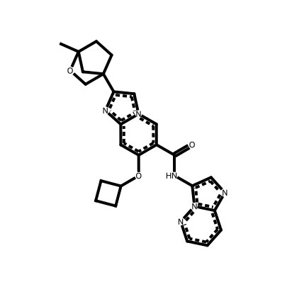 CC12CCC(c3cn4cc(C(=O)Nc5cnc6cccnn56)c(OC5CCC5)cc4n3)(CO1)C2